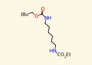 CCOC(=O)NCCCCCCNC(=O)OCC(C)(C)C